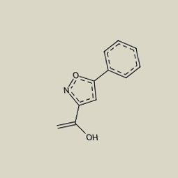 C=C(O)c1cc(-c2ccccc2)on1